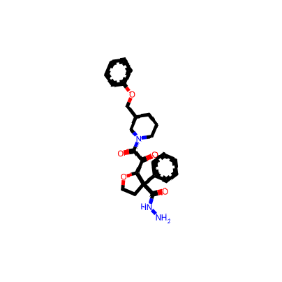 NNC(=O)C1(c2ccccc2)CCOC1C(=O)C(=O)N1CCCC(COc2ccccc2)C1